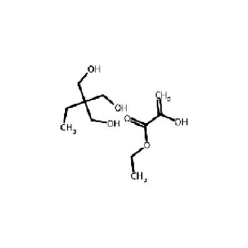 C=C(O)C(=O)OCC.CCC(CO)(CO)CO